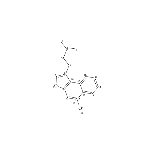 CC(C)CCc1coc2c[n+]([O-])c3ccccc3c12